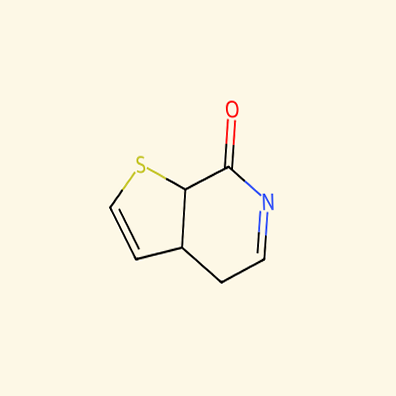 O=C1N=CCC2C=CSC12